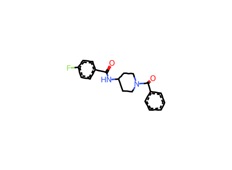 O=C(NC1CCN(C(=O)c2ccccc2)CC1)c1ccc(F)cc1